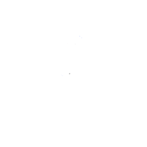 CN[C@H](CCCC(=O)N(C)C)CSc1ccccc1